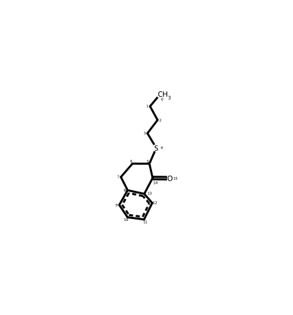 CCCCSC1CCc2ccccc2C1=O